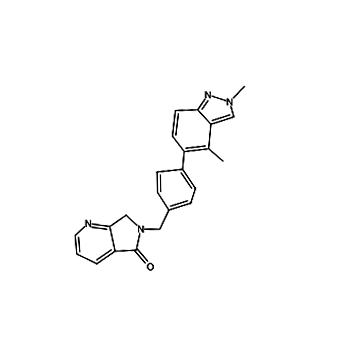 Cc1c(-c2ccc(CN3Cc4ncccc4C3=O)cc2)ccc2nn(C)cc12